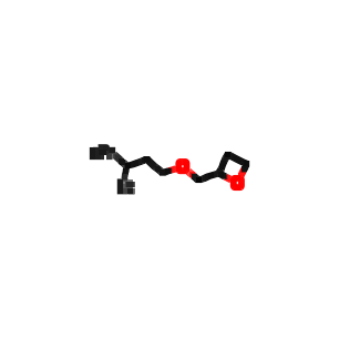 CCCC(CC)CCOCC1CCO1